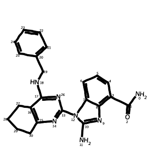 NC(=O)c1cccc2c1nc(N)n2-c1nc2c(c(NCc3ccccc3)n1)CCCC2